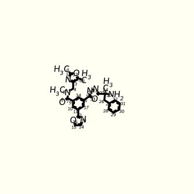 Cc1nc(CN(C)C(=O)c2cc(-c3ncco3)cc(-c3nnc([C@](C)(N)Cc4ccccc4)o3)c2)c(C)o1